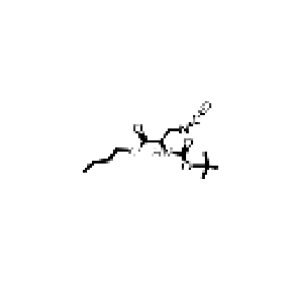 CCCCOC(=O)[C@@H](CN=C=O)NC(=O)OC(C)(C)C